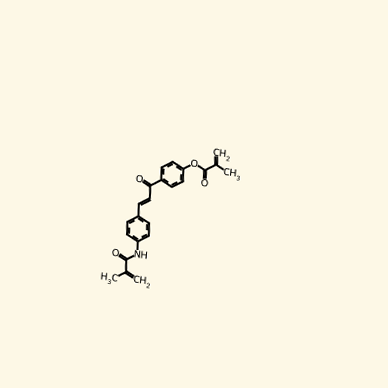 C=C(C)C(=O)Nc1ccc(/C=C/C(=O)c2ccc(OC(=O)C(=C)C)cc2)cc1